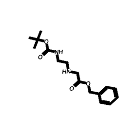 CC(C)(C)OC(=O)NCCNCC(=O)OCc1ccccc1